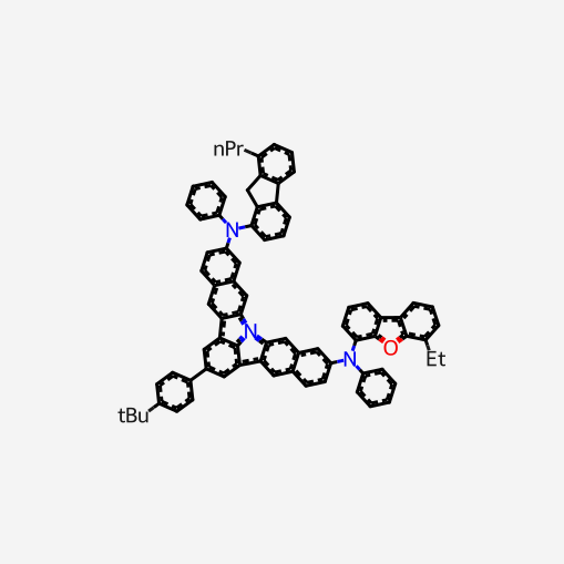 CCCc1cccc2c1Cc1c-2cccc1N(c1ccccc1)c1ccc2cc3c4cc(-c5ccc(C(C)(C)C)cc5)cc5c6cc7ccc(N(c8ccccc8)c8cccc9c8oc8c(CC)cccc89)cc7cc6n(c3cc2c1)c45